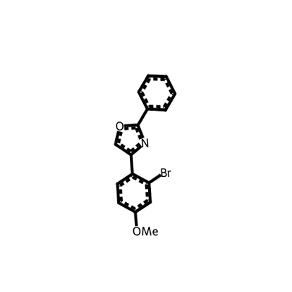 COc1ccc(-c2coc(-c3ccccc3)n2)c(Br)c1